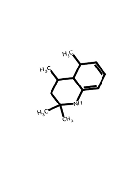 CC1C=CC=C2NC(C)(C)CC(C)C21